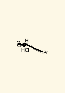 CC(C)CCCCCCCCCCCCCCNc1ccc(CCC(=O)Cl)cc1.Cl